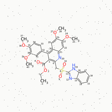 CCOC(=O)c1c(CS(=O)(=O)c2nc3ccccc3[nH]2)nc2cc(OC)c(OC)cc2c1-c1ccc(OC)c(OC)c1